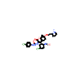 Cc1c(OCCC2CCCCN2)ccc2c1OC(=O)C(NC(=O)Nc1ccc(Cl)cc1)C2.O=C=Nc1ccc(Cl)cc1